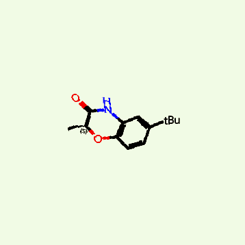 C[C@@H]1Oc2ccc(C(C)(C)C)cc2NC1=O